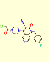 N#Cc1c(N2CCN(C(=O)CCl)CC2)c2cnccc2n(Cc2ccc(F)cc2)c1=O